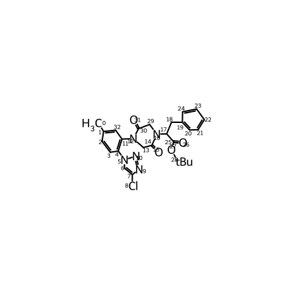 Cc1ccc(-n2cc(Cl)nn2)c(N2CC(=O)N(C(Cc3ccccc3)C(=O)OC(C)(C)C)CC2=O)c1